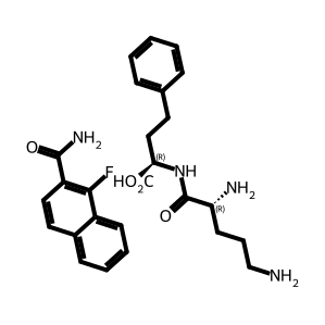 NC(=O)c1ccc2ccccc2c1F.NCCC[C@@H](N)C(=O)N[C@H](CCc1ccccc1)C(=O)O